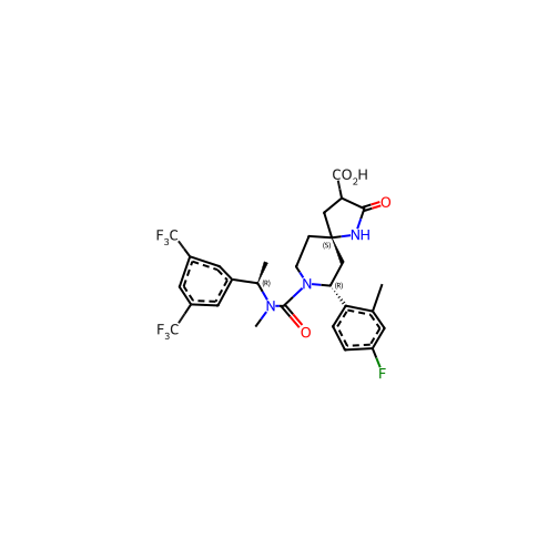 Cc1cc(F)ccc1[C@H]1C[C@@]2(CCN1C(=O)N(C)[C@H](C)c1cc(C(F)(F)F)cc(C(F)(F)F)c1)CC(C(=O)O)C(=O)N2